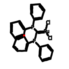 [Cl][Ru]([Cl])=[C](P(c1ccccc1)c1ccccc1)P(c1ccccc1)c1ccccc1